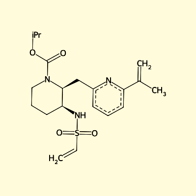 C=CS(=O)(=O)N[C@H]1CCCN(C(=O)OC(C)C)[C@H]1Cc1cccc(C(=C)C)n1